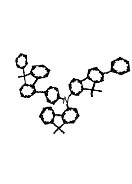 CC1(C)c2cc(-c3ccccc3)ccc2-c2ccc(N(c3ccc(-c4cccc5c4-c4ccccc4C5(C)c4ccccc4)cc3)c3cccc4c3-c3ccccc3C4(C)C)cc21